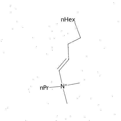 CCCCCCCCC=C[N+](C)(C)CCC